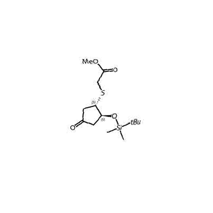 COC(=O)CS[C@H]1CC(=O)C[C@@H]1O[Si](C)(C)C(C)(C)C